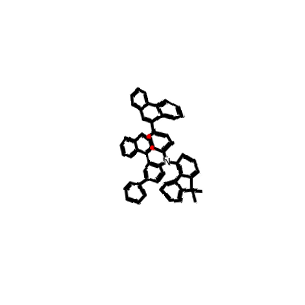 CC1(C)c2ccccc2-c2c(N(c3ccc(-c4cc5ccccc5c5ccccc45)cc3)c3ccc(-c4ccccc4)cc3-c3cccc4ccccc34)cccc21